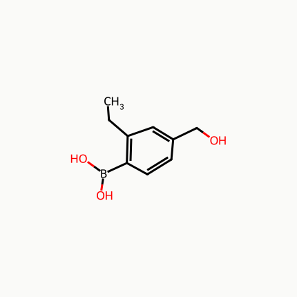 CCc1cc(CO)ccc1B(O)O